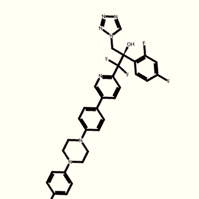 N#Cc1ccc(N2CCN(c3ccc(-c4ccc(C(F)(F)[C@](O)(Cn5cnnn5)c5ccc(F)cc5F)nc4)cc3)CC2)cc1